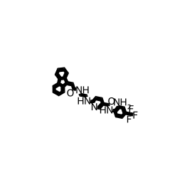 Nc1cc(C(F)(F)F)ccc1NC(=O)c1ccc(NCCNC(=O)C=C2c3ccccc3-c3ccccc32)nc1